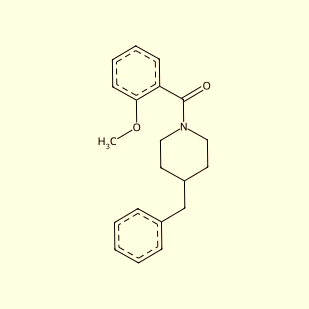 COc1ccccc1C(=O)N1CCC(Cc2ccccc2)CC1